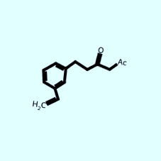 C=Cc1cccc(CCC(=O)CC(C)=O)c1